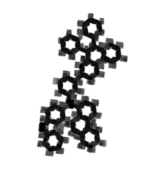 c1ccc(-c2c(-c3ccccc3)c3cc(-c4cccc(N(c5ccc6sc7ccccc7c6c5)c5cccc6c5ccc5ccccc56)c4)ccc3c3ccccc23)cc1